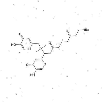 CC(C)(C)CCC(=O)CCCC(=O)CC(c1cc(=O)c(O)co1)C(C)(C)Cc1cc(=O)c(O)co1